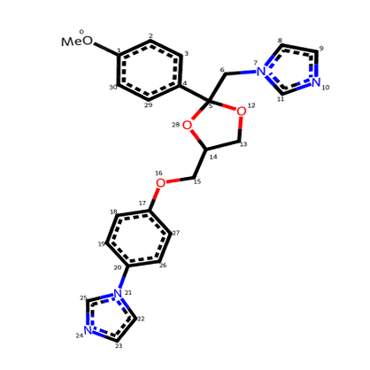 COc1ccc(C2(Cn3ccnc3)OCC(COc3ccc(-n4ccnc4)cc3)O2)cc1